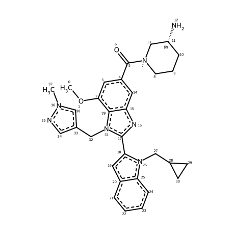 COc1cc(C(=O)N2CCC[C@@H](N)C2)cc2nc(-c3cc4ccccc4n3CC3CC3)n(Cc3cnn(C)c3)c12